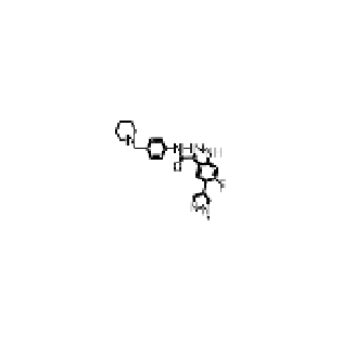 Cn1cc(-c2cc3c(C(=O)Nc4ccc(CN5CCCCC5)cc4)n[nH]c3cc2F)cn1